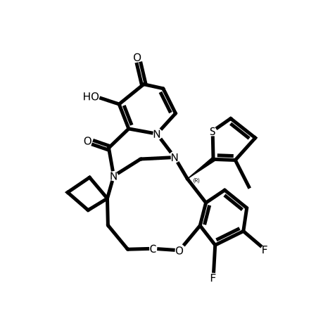 Cc1ccsc1[C@H]1c2ccc(F)c(F)c2OCCCC2(CCC2)N2CN1n1ccc(=O)c(O)c1C2=O